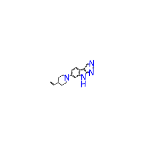 C=CC1CCN(c2ccc3c(c2)[nH]c2ncncc23)CC1